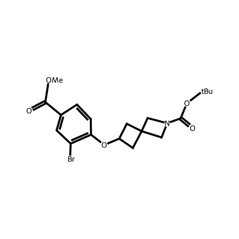 COC(=O)c1ccc(OC2CC3(C2)CN(C(=O)OC(C)(C)C)C3)c(Br)c1